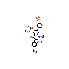 C#Cc1ccc2c(c1)[nH]c1c2c(=O)c2cc(OC(C)C)c(-c3cccc(OS(=O)(=O)F)c3)cc2n1C1CC1